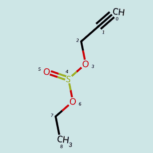 C#CCOS(=O)OCC